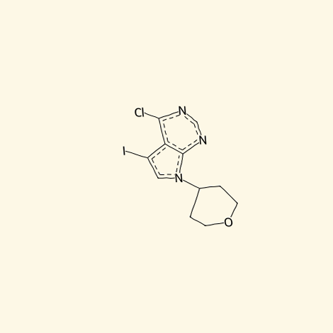 Clc1ncnc2c1c(I)cn2C1CCOCC1